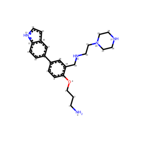 NCCCOc1ccc(-c2ccc3[nH]ccc3c2)cc1CNCCN1CCNCC1